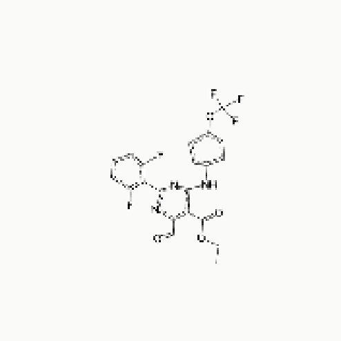 CCOC(=O)c1c(C=O)nc(-c2c(F)cccc2F)nc1Nc1ccc(OC(F)(F)F)cc1